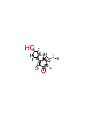 CCCC[C@]12Cc3cc(O)ccc3C1=C(C)C(=O)[C@@H](C)C2